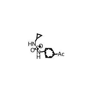 CC(=O)c1ccc(NS(=O)(=O)NC2CC2)cc1